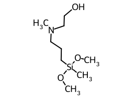 CO[Si](C)(CCCN(C)CCO)OC